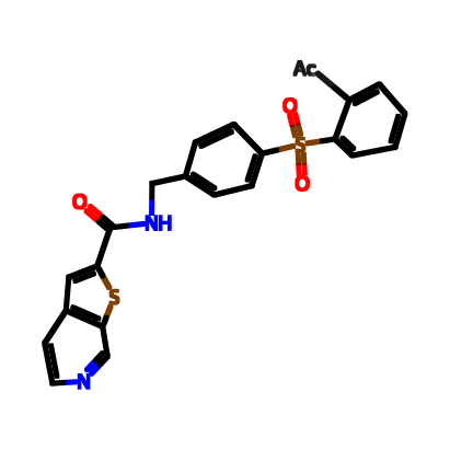 CC(=O)c1ccccc1S(=O)(=O)c1ccc(CNC(=O)c2cc3ccncc3s2)cc1